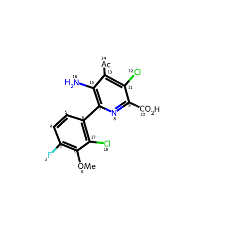 COc1c(F)ccc(-c2nc(C(=O)O)c(Cl)c(C(C)=O)c2N)c1Cl